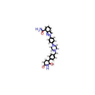 NC(=O)c1cccc2cn(-c3ccc(N4CCN(Cc5ccc(C6CCC(=O)NC6=O)cc5)CC4)cc3)nc12